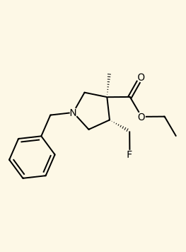 CCOC(=O)[C@]1(C)CN(Cc2ccccc2)C[C@H]1CF